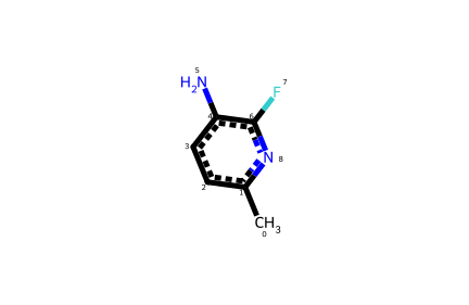 Cc1ccc(N)c(F)n1